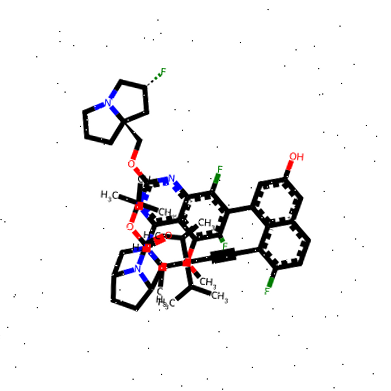 COc1c(F)c(-c2cc(O)cc3ccc(F)c(C#C[Si](C(C)C)(C(C)C)C(C)C)c23)c(F)c2nc(OC[C@@]34CCCN3C[C@H](F)C4)nc(N3CC4CCC(C3)N4C(=O)OC(C)(C)C)c12